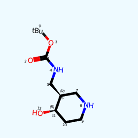 CC(C)(C)OC(=O)NC[C@H]1CNCC[C@H]1O